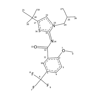 COc1ccc(C(F)(F)F)cc1C(=O)N=c1sc(C(C)(C)C)cn1CC(C)C